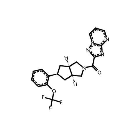 O=C(c1nc2ncccn2n1)N1C[C@H]2C[C@@H](c3ccccc3OC(F)(F)F)C[C@H]2C1